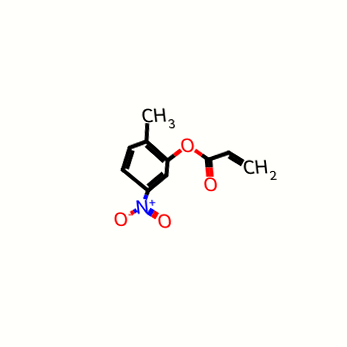 C=CC(=O)Oc1cc([N+](=O)[O-])ccc1C